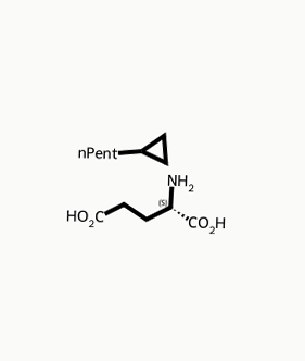 CCCCCC1CC1.N[C@@H](CCC(=O)O)C(=O)O